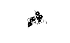 CC(C)n1cc(CN2CCC3(CC2)CN(c2ccc(F)cn2)C(=O)O3)c2c(-c3ccc(F)nc3)cccc21